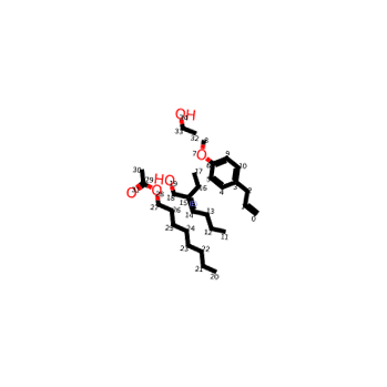 C=CCc1ccc(OC)cc1.CCC/C=C(\CC)CO.CCCCCCCCOC(C)=O.CCO